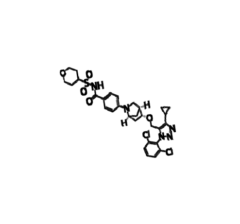 O=C(NS(=O)(=O)C1CCOCC1)c1ccc(N2C[C@@H]3C[C@H]2C[C@H]3OCc2c(C3CC3)nnn2-c2c(Cl)cccc2Cl)cc1